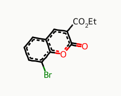 CCOC(=O)c1cc2cccc(Br)c2oc1=O